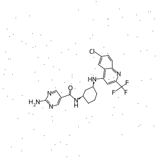 Nc1ncc(C(=O)N[C@@H]2CCC[C@H](Nc3cc(C(F)(F)F)nc4ccc(Cl)cc34)C2)cn1